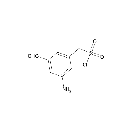 Nc1cc(C=O)cc(CS(=O)(=O)Cl)c1